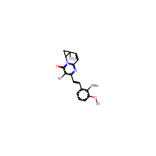 CCOc1cccc(/C=C/c2nc3n(c(=O)c2CC)C2CC2(C(=O)O)C=C3)c1OC